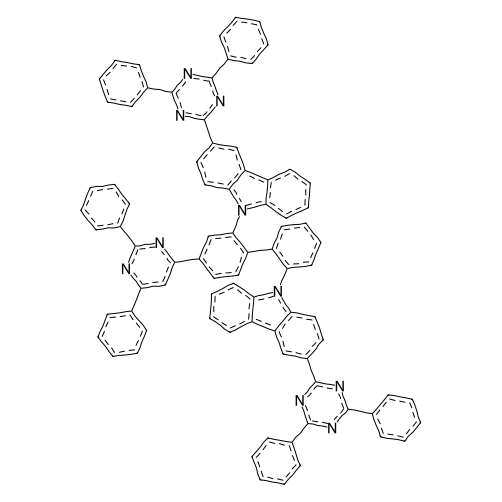 c1ccc(-c2cc(-c3ccc(-c4ccccc4-n4c5ccccc5c5cc(-c6nc(-c7ccccc7)nc(-c7ccccc7)n6)ccc54)c(-n4c5ccccc5c5cc(-c6nc(-c7ccccc7)nc(-c7ccccc7)n6)ccc54)c3)nc(-c3ccccc3)n2)cc1